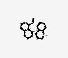 C=Cc1nccc2ccccc12.c1ccc2ncccc2c1